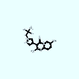 N#Cc1ccc2nc(C(F)(F)F)c(-c3cnn(CC(F)(F)C(F)(F)F)c3)c(=O)n2c1